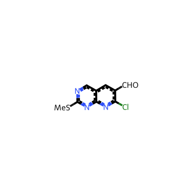 CSc1ncc2cc(C=O)c(Cl)nc2n1